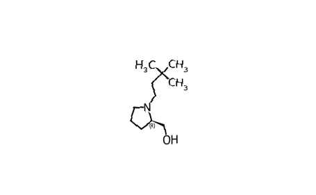 CC(C)(C)CCN1CCC[C@@H]1CO